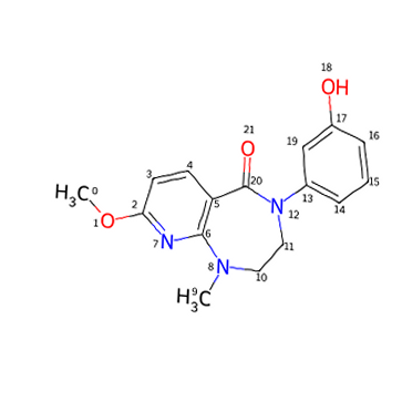 COc1ccc2c(n1)N(C)CCN(c1cccc(O)c1)C2=O